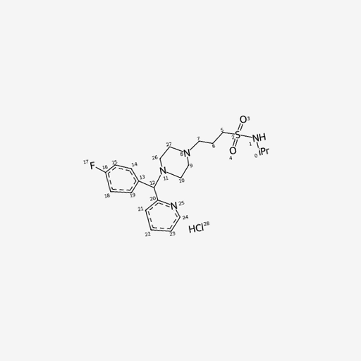 CC(C)NS(=O)(=O)CCCN1CCN(C(c2ccc(F)cc2)c2ccccn2)CC1.Cl